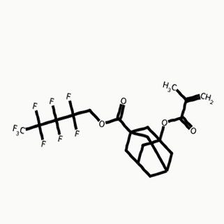 C=C(C)C(=O)OC12CC3CC(C1)CC(C(=O)OCC(F)(F)C(F)(F)C(F)(F)C(F)(F)F)(C3)C2